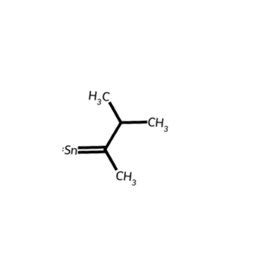 C[C](=[Sn])C(C)C